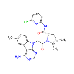 C[C@@H]1[C@@H](C)C[C@@H](C(=O)Nc2cccc(Cl)n2)N1C(=O)Cn1c2ccc(C(F)(F)F)cc2c2c(N)ncnc21